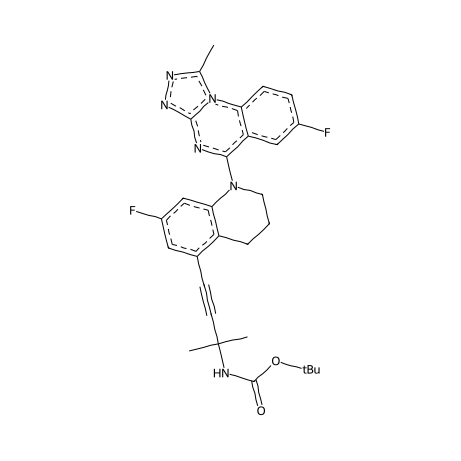 Cc1nnc2nc(N3CCCc4c(C#CC(C)(C)NC(=O)OC(C)(C)C)cc(F)cc43)c3cc(F)ccc3n12